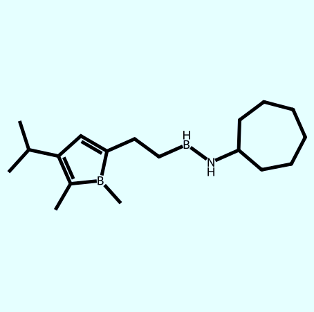 CB1C(CCBNC2CCCCCC2)=CC(C(C)C)=C1C